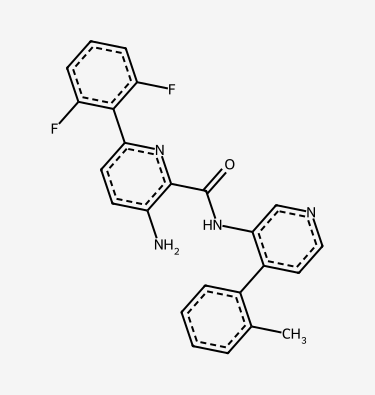 Cc1ccccc1-c1ccncc1NC(=O)c1nc(-c2c(F)cccc2F)ccc1N